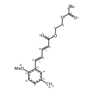 CCC(C)C(=O)OCCOC(=O)/C=C/C=C/c1cc(C)ccc1OC